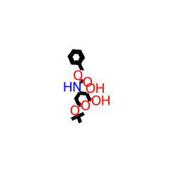 CC(C)(C)OC(=O)CC(NC(=O)OCc1ccccc1)C(O)CO